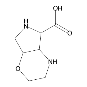 O=C(O)C1NCC2OCCNC21